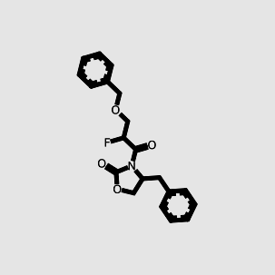 O=C1OCC(Cc2ccccc2)N1C(=O)C(F)COCc1ccccc1